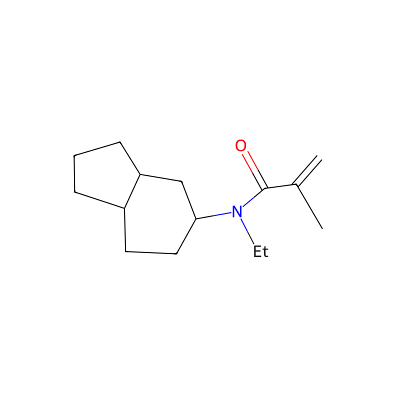 C=C(C)C(=O)N(CC)C1CCC2CCCC2C1